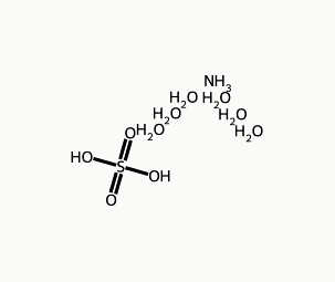 N.O.O.O.O.O.O.O=S(=O)(O)O